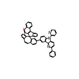 C1=Cc2ccc(-c3ccc4c(c3)c3nc(-c5ccccc5)ccc3n4-c3ccccn3)cc2C2(c3ccccc31)c1ccccc1-c1c2c2ccccc2c2ccccc12